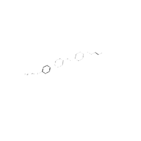 CCCCCc1ccc([C@H]2CC[C@H](CC[C@H]3CC[C@H](CCC=CF)CC3)CC2)cc1